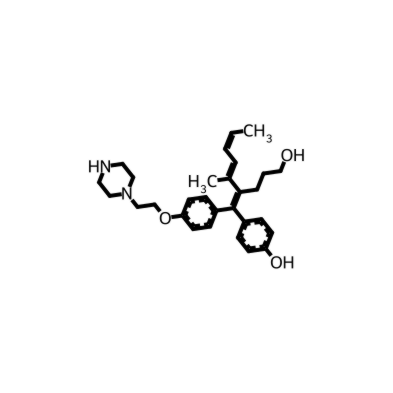 C\C=C/C=C(C)/C(CCCO)=C(/c1ccc(O)cc1)c1ccc(OCCN2CCNCC2)cc1